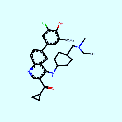 COc1cc(-c2ccc3ncc(C(=O)C4CC4)c(NC4CCC(CN(C)CC#N)CC4)c3c2)cc(Cl)c1O